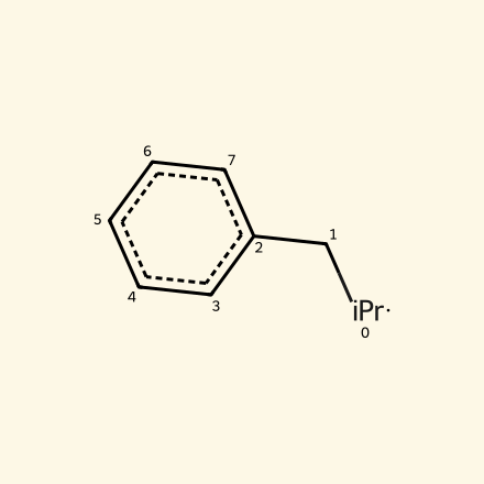 C[C](C)Cc1ccccc1